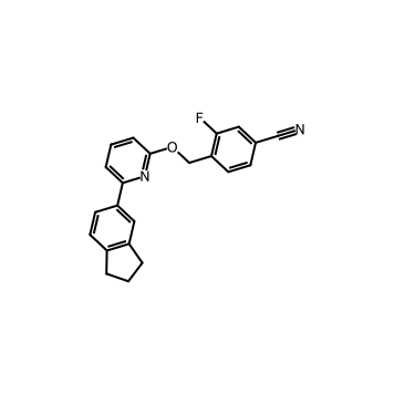 N#Cc1ccc(COc2cccc(-c3ccc4c(c3)CCC4)n2)c(F)c1